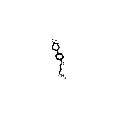 C=C1CCC(c2ccc(OCCCC)cc2)CC1